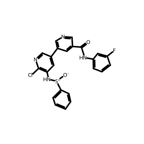 O=C(Nc1cccc(F)c1)c1cncc(-c2cnc(Cl)c(N[S+]([O-])c3ccccc3)c2)c1